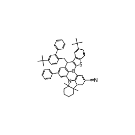 CC(C)(C)c1ccc(CC2c3cc(-c4ccccc4)cc4c3B(c3cc(C#N)cc5c3N4C3(C)CCCCC53C)c3sc4ccc(C(C)(C)C)cc4c32)c(-c2ccccc2)c1